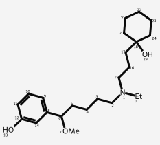 CCN(CCCCC(OC)c1cccc(O)c1)CCCC1(O)CCCCC1